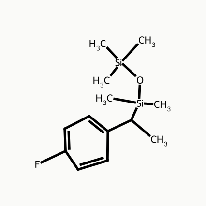 CC(c1ccc(F)cc1)[Si](C)(C)O[Si](C)(C)C